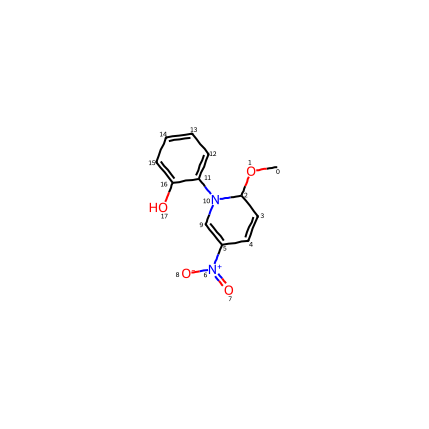 COC1C=CC([N+](=O)[O-])=CN1c1ccccc1O